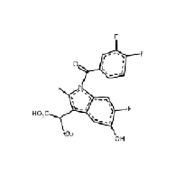 Cc1c(C(C(=O)O)C(C)(C)C)c2cc(O)c(F)cc2n1C(=O)c1ccc(F)c(F)c1